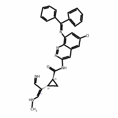 CN/C=C(\C=N)[C@H]1C[C@@H]1C(=O)Nc1cc2cc(Cl)cc(N=C(c3ccccc3)c3ccccc3)c2nn1